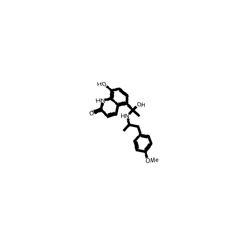 COc1ccc(CC(C)NC(C)(O)c2ccc(O)c3[nH]c(=O)ccc23)cc1